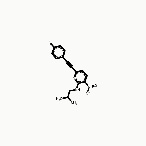 CC(C)CNc1nc(C#Cc2ccc(F)cc2)ccc1[N+](=O)[O-]